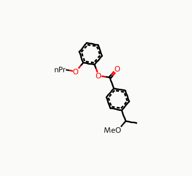 CCCOc1ccccc1OC(=O)c1ccc(C(C)OC)cc1